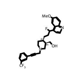 COc1ccc2nccc(C(F)CC[C@@H]3CCN(CC#Cc4cccc(C(F)(F)F)c4)C[C@@H]3CO)c2c1